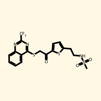 CS(=O)(=O)NCCc1ccc(C(=O)CSc2nc(C(F)(F)F)nc3ccccc23)s1